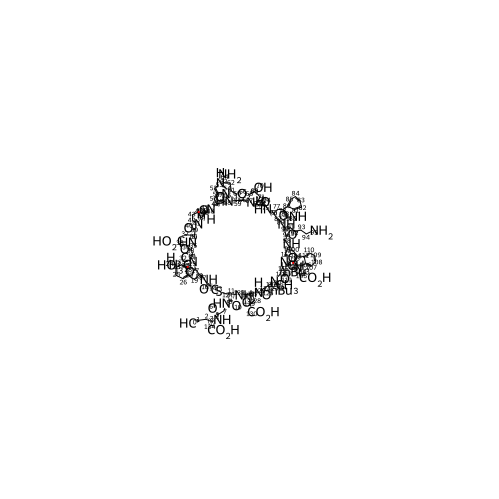 C#CC[C@H](NC(=O)CNC(=O)[C@@H]1CSCC(=O)N[C@@H](Cc2ccc(O)cc2)C(=O)N(C)[C@@H](C)C(=O)N[C@@H](CC(=O)O)C(=O)N2CCC[C@H]2C(=O)N[C@@H](Cc2c[nH]cn2)C(=O)N[C@@H](CCCCN)C(=O)N2C[C@H](O)C[C@H]2C(=O)N[C@@H](Cc2c[nH]c3ccccc23)C(=O)N[C@@H](CCCCN)C(=O)N[C@@H](Cc2cn(CC(=O)O)c3ccccc23)C(=O)N(C)[C@@H](CCCC)C(=O)N(C)[C@@H](CCCC)C(=O)N[C@@H](CCC(=O)O)C(=O)N1)C(=O)O